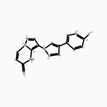 O=c1ccn2ncc(-n3cc(-c4ccc(F)nc4)cn3)c2[nH]1